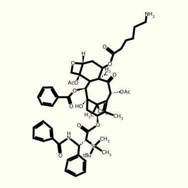 CC(=O)O[C@H]1C(=O)[C@]2(C)C(OC(=O)CCCCCN)C[C@H]3OC[C@@]3(OC(C)=O)C2[C@H](OC(=O)c2ccccc2)[C@]2(O)C[C@H](OC(=O)[C@@H](C(NC(=O)c3ccccc3)c3ccccc3)[Si](C)(C)C(C)(C)C)C(C)=C1C2(C)C